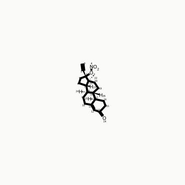 C#C[C@]1(O[N+](=O)[O-])CC[C@H]2[C@@H]3CCC4=CC(=O)CC[C@@H]4[C@H]3CC[C@@]21C